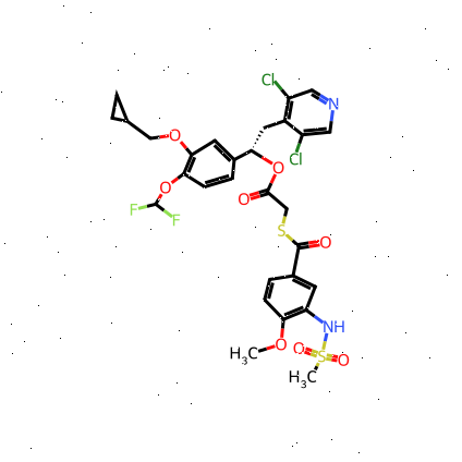 COc1ccc(C(=O)SCC(=O)O[C@@H](Cc2c(Cl)cncc2Cl)c2ccc(OC(F)F)c(OCC3CC3)c2)cc1NS(C)(=O)=O